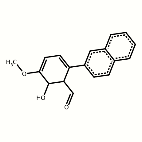 COC1=CC=C(c2ccc3ccccc3c2)C(C=O)C1O